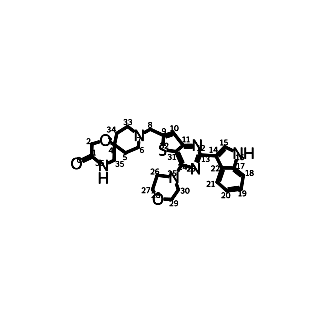 O=C1COC2(CCN(Cc3cc4nc(-c5c[nH]c6ccccc56)nc(N5CCOCC5)c4s3)CC2)CN1